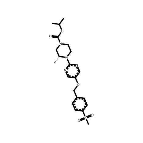 CC(C)OC(=O)N1CCN(c2ncc(OCc3ccc(S(C)(=O)=O)cc3)cn2)[C@H](C)C1